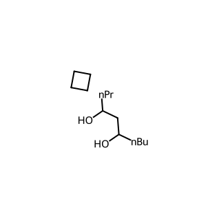 C1CCC1.CCCCC(O)CC(O)CCC